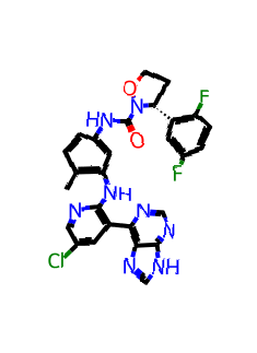 Cc1ccc(NC(=O)N2OCC[C@@H]2c2cc(F)ccc2F)cc1Nc1ncc(Cl)cc1-c1ncnc2[nH]cnc12